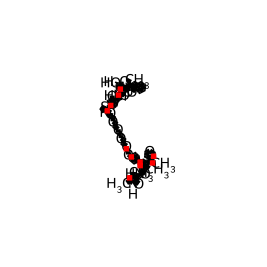 CCN(c1cc(-c2ccc(OCCOCCOCCOCCOCCOc3ncsc3-c3ccc(CNC(=O)C4C[C@@H](O)CN4C(=O)[C@H](C(C)C)N4Cc5ccccc5C4=O)c(O)c3)cc2)cc(C(=O)NCc2c(C)cc(C)[nH]c2=O)c1C)C1CCOCC1